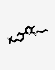 C\C=C(/C=C\C=C\C(C)(C)F)c1ccc(C)c(N(C)CCCC)n1